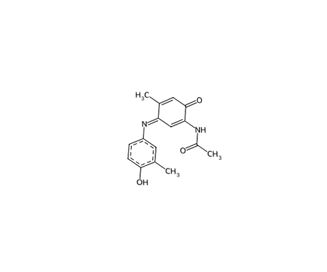 CC(=O)NC1=CC(=Nc2ccc(O)c(C)c2)C(C)=CC1=O